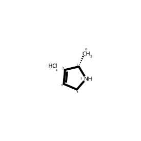 C[C@H]1C=CCN1.Cl